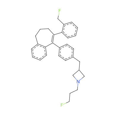 FCCCN1CC(Cc2ccc(C3=C(c4ccccc4CF)CCCc4ccccc43)cc2)C1